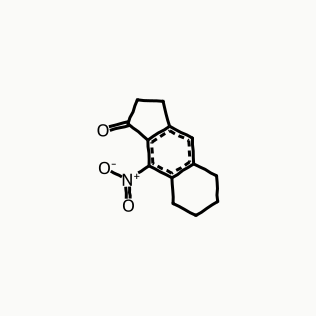 O=C1CCc2cc3c(c([N+](=O)[O-])c21)CCCC3